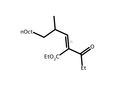 CCCCCCCCCC(C)/C=C(/C(=O)CC)C(=O)OCC